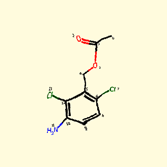 CC(=O)OCc1c(Cl)ccc(N)c1Cl